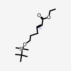 CCOC(=O)/C=C/CCCO[Si](C)(C)C(C)(C)C